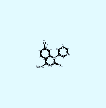 CNc1nc(=O)n(-c2cncnc2)c2cc(C(F)(F)F)ccc12